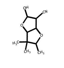 CC1OC2C(C#N)C(O)OC2C1(C)C